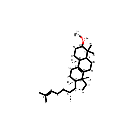 CC(C)=CCC[C@@H](C)[C@H]1CC[C@@]2(C)C3=C(CC[C@]12C)[C@@]1(C)CCC(OC(C)C)C(C)(C)C1CC3